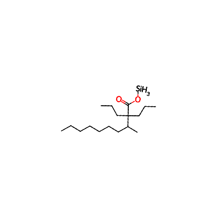 CCCCCCCC(C)C(CCC)(CCC)C(=O)O[SiH3]